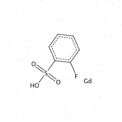 O=S(=O)(O)c1ccccc1F.[Gd]